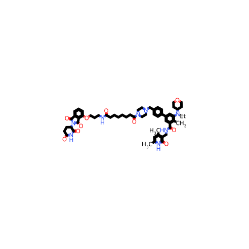 CCN(c1cc(-c2ccc(CN3CCN(C(=O)CCCCCCC(=O)NCCCOc4cccc5c4C(=O)N(C4CCC(=O)NC4=O)C5=O)CC3)cc2)cc(C(=O)NCc2c(C)cc(C)[nH]c2=O)c1C)C1CCOCC1